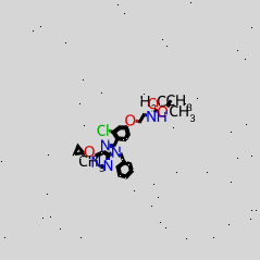 CC(C)(C)OC(=O)NCCOc1ccc(-c2nc3c(OC4(C)CC4)ncnc3n2Cc2ccccc2)c(Cl)c1